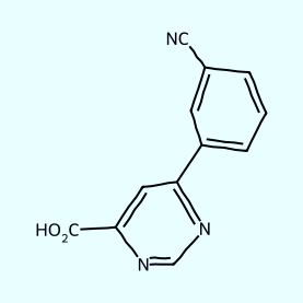 N#Cc1cccc(-c2cc(C(=O)O)ncn2)c1